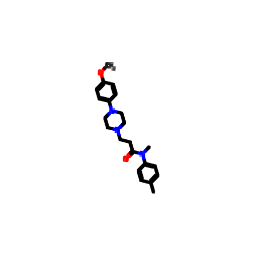 Cc1ccc(N(C)C(=O)CCN2CCN(c3ccc(OC(F)(F)F)cc3)CC2)cc1